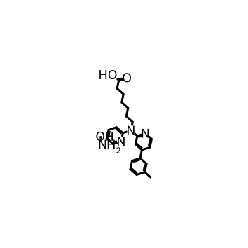 Cc1cccc(-c2ccnc(N(CCCCCCC(=O)O)c3ccccn3)c2)c1.NO